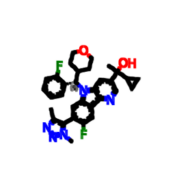 Cc1nnn(C)c1-c1cc2c(cc1F)c1ncc(C(C)(O)C3CC3)cc1n2[C@H](c1ccccc1F)C1CCOCC1